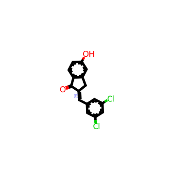 O=C1/C(=C/c2cc(Cl)cc(Cl)c2)Cc2cc(O)ccc21